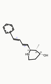 C[C@@H]1[C@H](O)CCN[C@H]1/C=C/C=C/c1ccccc1